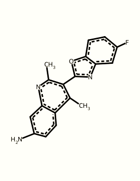 Cc1nc2cc(N)ccc2c(C)c1-c1nc2cc(F)ccc2o1